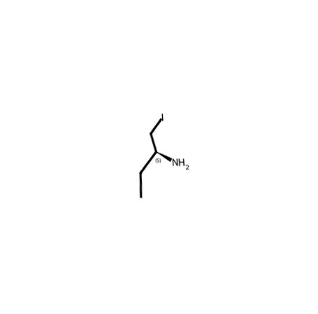 CC[C@H](N)CI